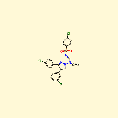 CON(C=NS(=O)(=O)c1ccc(Cl)cc1)N1CC(c2cccc(F)c2)C(c2ccc(Cl)cc2)=N1